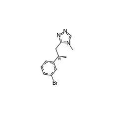 C[C@H](Cc1nncn1C)c1cccc(Br)c1